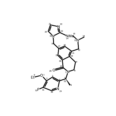 CCOc1cc([C@H](C)N2CCc3c(CN(C)C)cc(Cn4ccnc4NC)cc3C2=O)ncc1F